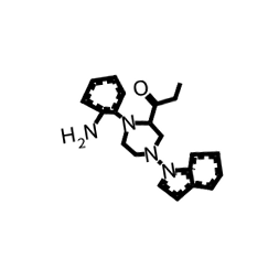 CCC(=O)C1CN(n2ccc3ccccc32)CCN1c1ccccc1N